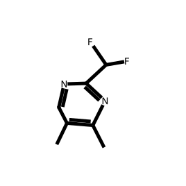 Cc1cnc(C(F)F)nc1C